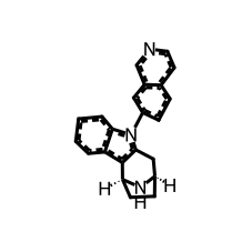 c1ccc2c(c1)c1c(n2-c2ccc3ccncc3c2)C[C@H]2CC[C@@H]1N2